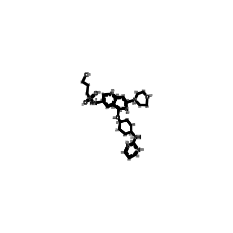 O=S(=O)(CCCCl)Nc1cnc2cc(N3CCOCC3)nc(OC3CCC(Nc4ncccn4)CC3)c2c1